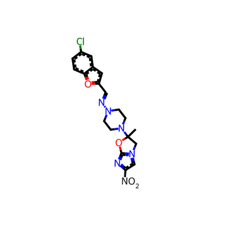 CC1(N2CCN(N=Cc3cc4cc(Cl)ccc4o3)CC2)Cn2cc([N+](=O)[O-])nc2O1